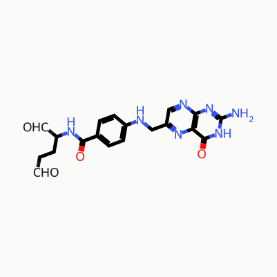 Nc1nc2ncc(CNc3ccc(C(=O)NC(C=O)CCC=O)cc3)nc2c(=O)[nH]1